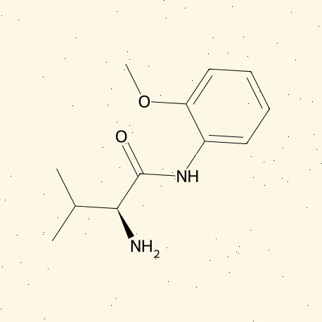 COc1ccccc1NC(=O)[C@@H](N)C(C)C